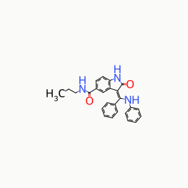 CCCNC(=O)c1ccc2c(c1)/C(=C(/Nc1ccccc1)c1ccccc1)C(=O)N2